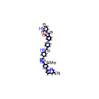 CNc1cc(-c2ccc3cc(C#N)cnn23)ncc1-c1nnc([C@H]2CC[C@@H](NC(=O)C3CCN(c4ccc5c(c4)C(=O)N(C4CCC(=O)NC4=O)C5=O)CC3)CC2)s1